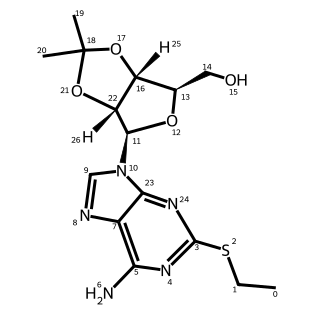 CCSc1nc(N)c2ncn([C@@H]3O[C@H](CO)[C@H]4OC(C)(C)O[C@H]43)c2n1